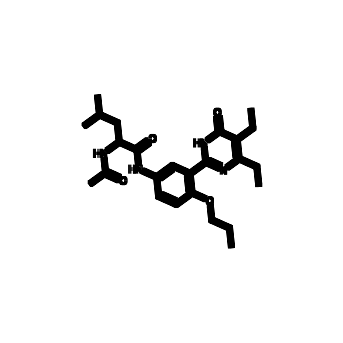 CCCOc1ccc(NC(=O)C(CC(C)C)NC(C)=O)cc1-c1nc(CC)c(CC)c(=O)[nH]1